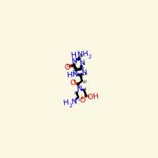 NCCN(CC(=O)O)C(=O)Cc1nc2nc(N)[nH]c(=O)c2[nH]1